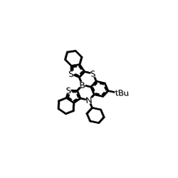 CC(C)(C)c1cc2c3c(c1)N(C1CCCCC1)c1c(sc4c1CCCC4)B3c1sc3c(c1S2)CCCC3